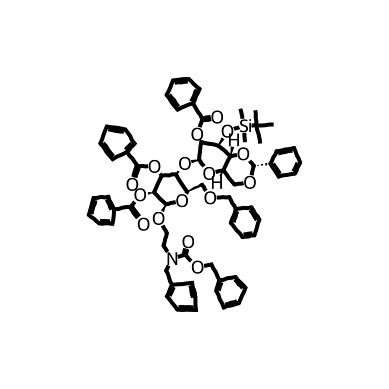 CC(C)(C)[Si](C)(C)O[C@@H]1[C@@H](OC(=O)c2ccccc2)[C@H](O[C@H]2[C@H](OC(=O)c3ccccc3)[C@@H](OC(=O)c3ccccc3)[C@H](OCCN(Cc3ccccc3)C(=O)OCc3ccccc3)O[C@@H]2COCc2ccccc2)O[C@@H]2CO[C@@H](c3ccccc3)O[C@@H]12